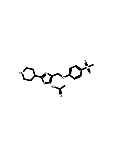 CC(=O)O.CS(=O)(=O)c1ccc(OCc2csc(C3CCNCC3)n2)cc1